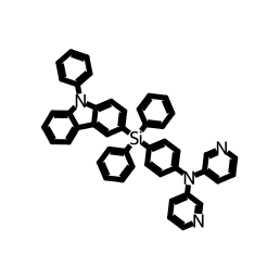 c1ccc(-n2c3ccccc3c3cc([Si](c4ccccc4)(c4ccccc4)c4ccc(N(c5cccnc5)c5cccnc5)cc4)ccc32)cc1